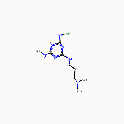 CNc1nc(NCl)nc(NCCCN(C)C)n1